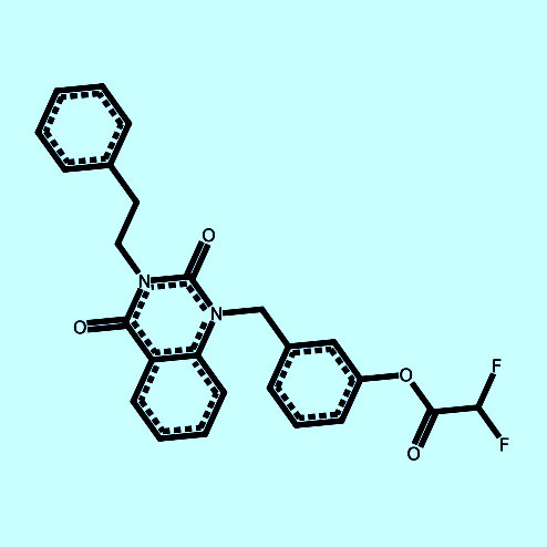 O=C(Oc1cccc(Cn2c(=O)n(CCc3ccccc3)c(=O)c3ccccc32)c1)C(F)F